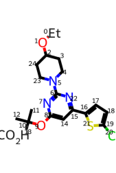 CCOC1CCN(c2nc(OC(C)(C)C(=O)O)cc(-c3ccc(Cl)s3)n2)CC1